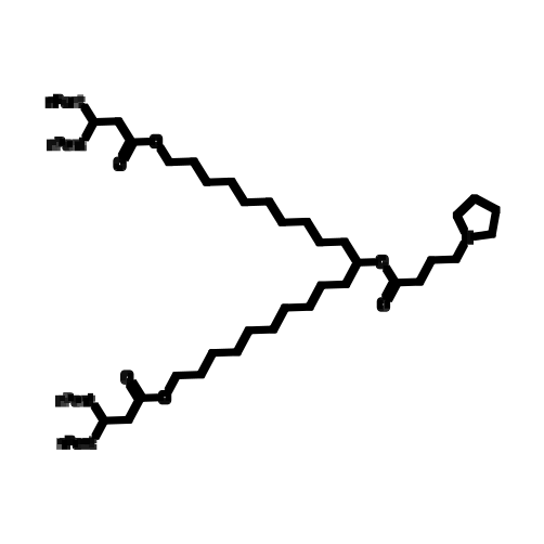 CCCCCC(CCCCC)CC(=O)OCCCCCCCCCCC(CCCCCCCCCCOC(=O)CC(CCCCC)CCCCC)OC(=O)CCCN1CCCC1